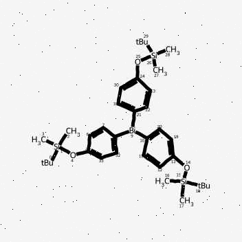 CC(C)(C)[Si](C)(C)Oc1cc[c]([Bi]([c]2ccc(O[Si](C)(C)C(C)(C)C)cc2)[c]2ccc(O[Si](C)(C)C(C)(C)C)cc2)cc1